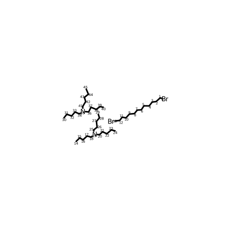 BrCCCCCCCCCCCCBr.CCCCCN(CCCCC)CCCCC.CCCCCN(CCCCC)CCCCC